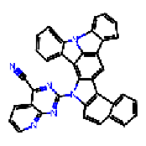 N#Cc1nc(-n2c3ccc4ccccc4c3c3cc4c5ccccc5n5c6ccccc6c(c32)c45)nc2ncccc12